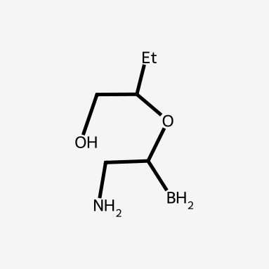 BC(CN)OC(CC)CO